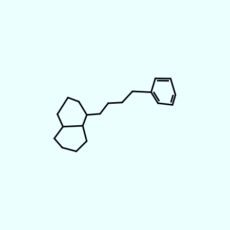 c1ccc(CCCCC2CCCC3CCCCC23)cc1